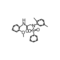 COc1ccccc1NC(=O)CN(c1cc(C)ccc1C)S(=O)(=O)c1ccccc1